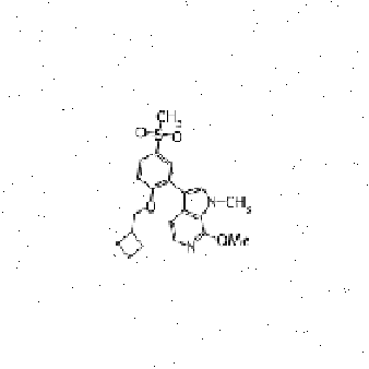 COc1nccc2c(-c3cc(S(C)(=O)=O)ccc3OCC3CCC3)cn(C)c12